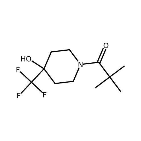 CC(C)(C)C(=O)N1CCC(O)(C(F)(F)F)CC1